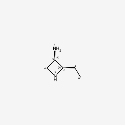 CC[C@H]1NC[C@H]1N